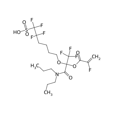 C=C(F)C(=O)OC(OCCCCC(F)(F)C(F)(F)S(=O)(=O)O)(C(=O)N(CCC)CCC)C(F)(F)F